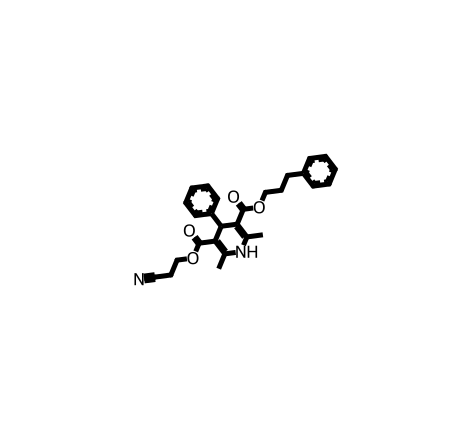 CC1=C(C(=O)OCCC#N)C(c2ccccc2)C(C(=O)OCCCc2ccccc2)=C(C)N1